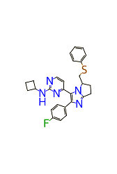 Fc1ccc(-c2nc3n(c2-c2ccnc(NC4CCC4)n2)C(CSc2ccccc2)CC3)cc1